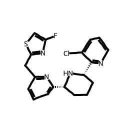 Fc1csc(Cc2cccc([C@H]3CCC[C@@H](c4ncccc4Cl)N3)n2)n1